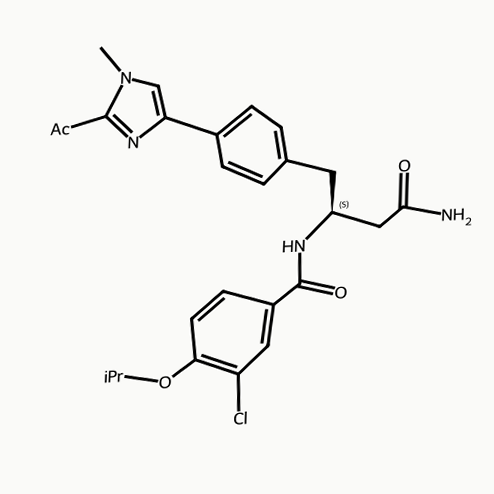 CC(=O)c1nc(-c2ccc(C[C@@H](CC(N)=O)NC(=O)c3ccc(OC(C)C)c(Cl)c3)cc2)cn1C